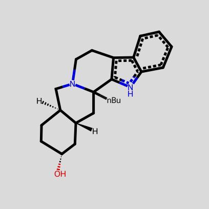 CCCCC12C[C@@H]3C[C@H](O)CC[C@H]3CN1CCc1c2[nH]c2ccccc12